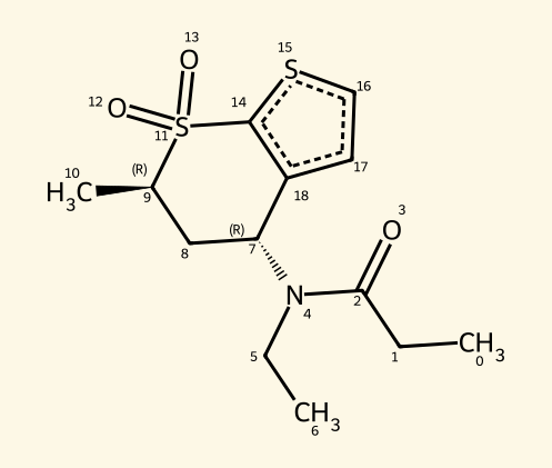 CCC(=O)N(CC)[C@@H]1C[C@@H](C)S(=O)(=O)c2sccc21